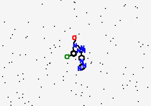 COCCN1Cc2cc(Cl)ccc2-n2c(nnc2C2CCN(c3cnccn3)CC2)C1